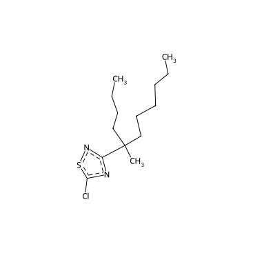 CCCCCCC(C)(CCCC)c1nsc(Cl)n1